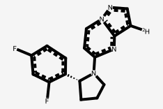 [2H]c1cnn2ccc(N3CCC[C@@H]3c3ccc(F)cc3F)nc12